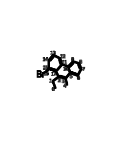 CCc1c(C)c2ccccc2c2cccc(Br)c12